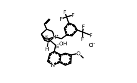 C=CC1C[N+]2(Cc3cc(C(F)(F)F)cc(C(F)(F)F)c3)CCC1C[C@H]2[C@H](O)c1ccnc2ccc(OC)cc12.[Cl-]